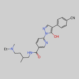 CCN(C)CCC(C)CNC(=O)c1ccc(-n2ncc(-c3ccc(C#N)cc3)c2O)nc1